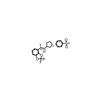 C[C@@H](NC1CC[C@H](c2ccc(S(C)(=O)=O)cc2)C1)c1cccc2c1OC(F)(F)O2